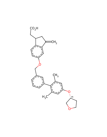 C=C1CC(CC(=O)O)c2ccc(OCc3cccc(-c4c(C)cc(O[C@@H]5CCOC5)cc4C)c3)cc21